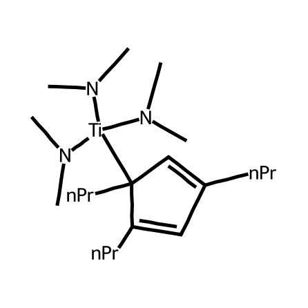 CCCC1=C[C](CCC)([Ti]([N](C)C)([N](C)C)[N](C)C)C(CCC)=C1